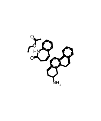 CCOC(C)=O.N[C@H]1CC=c2ccc3c(c2C1)CC=c1ccccc1=3.O=C1CC=Cc2ccccc2N1